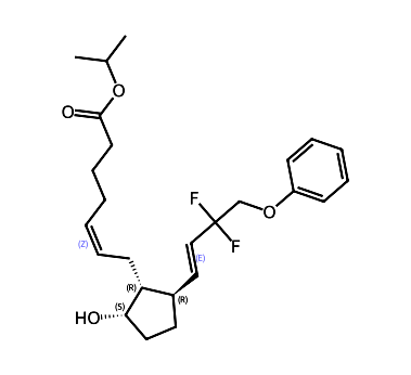 CC(C)OC(=O)CCC/C=C\C[C@H]1[C@@H](O)CC[C@@H]1/C=C/C(F)(F)COc1ccccc1